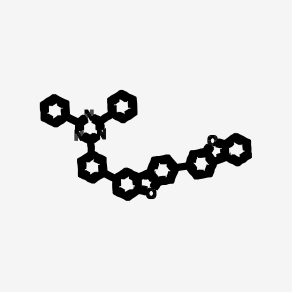 c1ccc(-c2nc(-c3ccccc3)nc(-c3cccc(-c4ccc5oc6cc(-c7ccc8c(c7)oc7ccccc78)ccc6c5c4)c3)n2)cc1